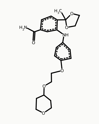 CC1(c2ccc(C(N)=O)cc2Nc2ccc(OCCOC3CCOCC3)cc2)OCCO1